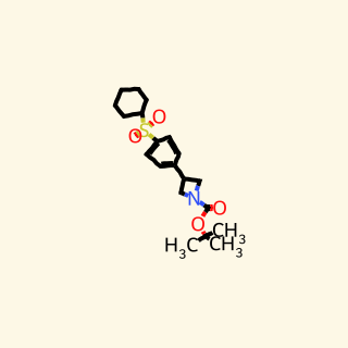 CC(C)(C)OC(=O)N1CC(c2ccc(S(=O)(=O)C3CCCCC3)cc2)C1